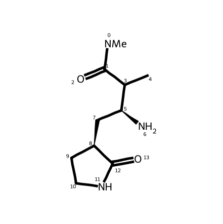 CNC(=O)C(C)[C@@H](N)C[C@@H]1CCNC1=O